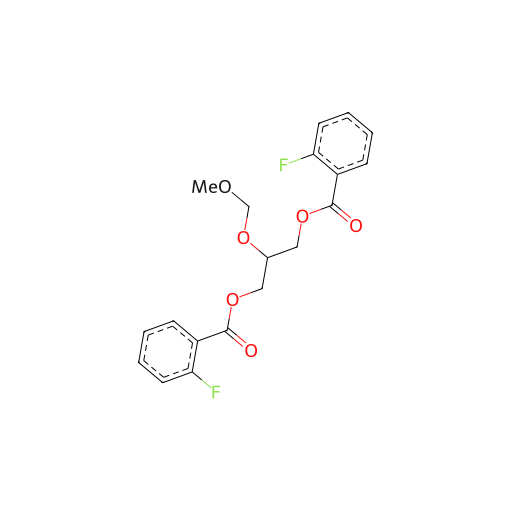 COCOC(COC(=O)c1ccccc1F)COC(=O)c1ccccc1F